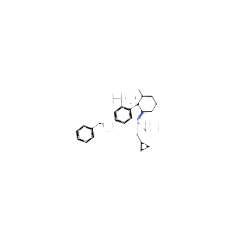 CC1CCC/C(=C\NCC2CC2)C1(O)c1ccc(OCc2ccccc2)cc1